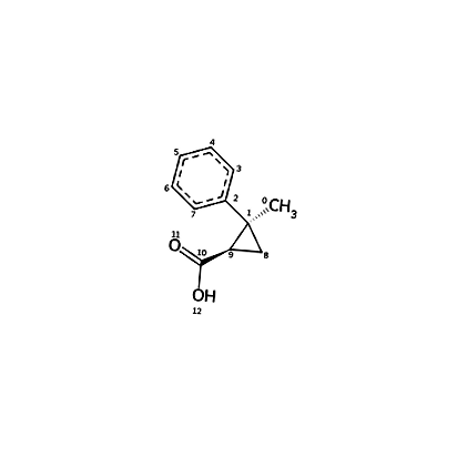 C[C@]1(c2ccccc2)C[C@H]1C(=O)O